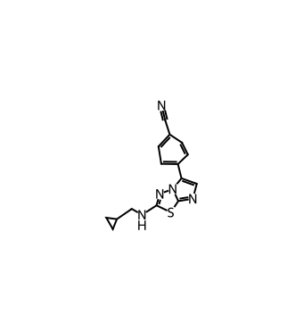 N#Cc1ccc(-c2cnc3sc(NCC4CC4)nn23)cc1